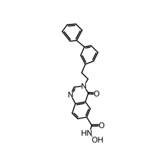 O=C(NO)c1ccc2ncn(CCc3cccc(-c4ccccc4)c3)c(=O)c2c1